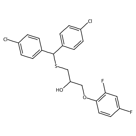 OC(COc1ccc(F)cc1F)CSC(c1ccc(Cl)cc1)c1ccc(Cl)cc1